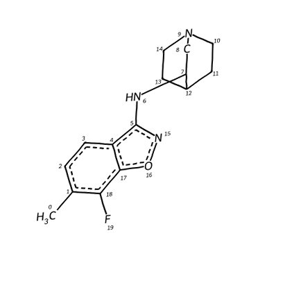 Cc1ccc2c(NC3CN4CCC3CC4)noc2c1F